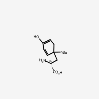 CCCCC1(C[C@@H](N)C(=O)O)C=CC(O)=CC1